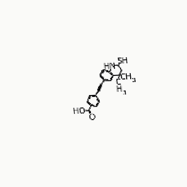 CC1(C)CC(S)Nc2ccc(C#Cc3ccc(C(=O)O)cc3)cc21